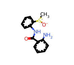 C[S+]([O-])c1ccccc1NC(=O)c1ccccc1N